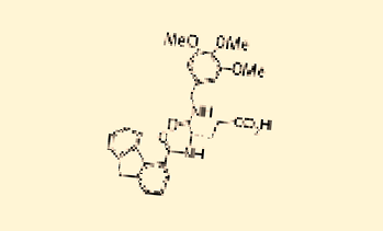 COc1cc(CNC(=O)[C@H](CCC(=O)O)NC(=O)c2cccc3c2-c2ccccc2C3)cc(OC)c1OC